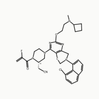 C=C(F)C(=O)N1CCN(c2nc(OCCN(C)C3CCC3)nc3c2CCN(c2cccc4cccc(Cl)c24)C3)C[C@@H]1CC#N